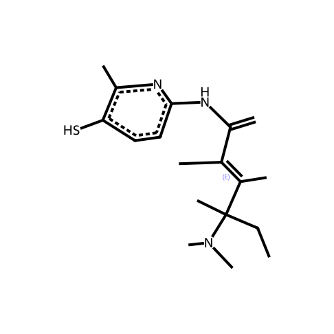 C=C(Nc1ccc(S)c(C)n1)/C(C)=C(\C)C(C)(CC)N(C)C